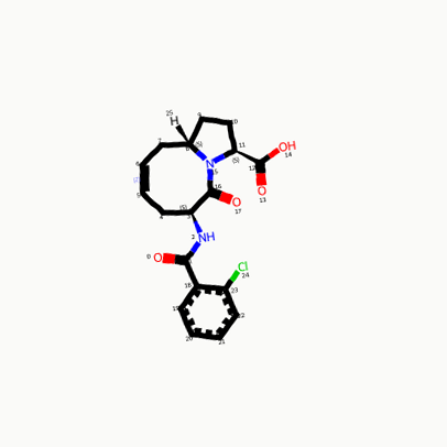 O=C(N[C@H]1C/C=C\C[C@@H]2CC[C@@H](C(=O)O)N2C1=O)c1ccccc1Cl